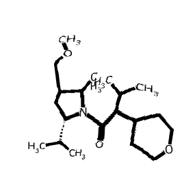 COCC1C[C@@H](C(C)C)N(C(=O)C(C(C)C)C2CCOCC2)C1C